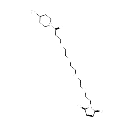 CCC1CCN(C(=O)CCOCCOCCOCCOCCN2C(=O)C=CC2=O)CC1